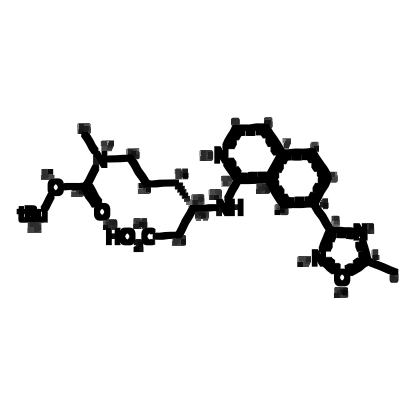 Cc1nc(-c2ccc3ccnc(N[C@@H](CCCN(C)C(=O)OC(C)(C)C)CC(=O)O)c3c2)no1